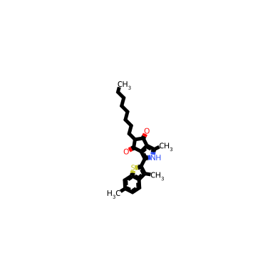 CCCCCCCCC1C(=O)c2c(C)[nH]c(-c3sc4cc(C)ccc4c3C)c2C1=O